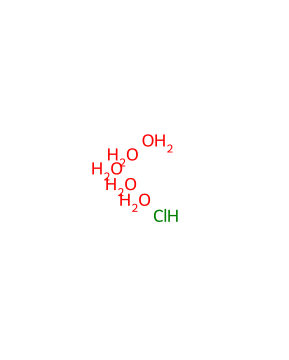 Cl.O.O.O.O.O